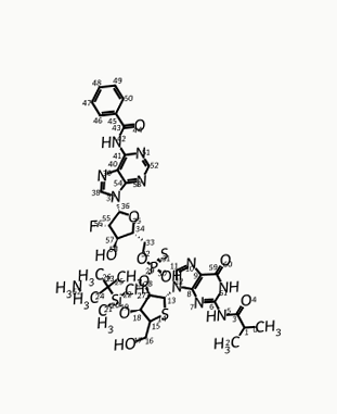 CC(C)C(=O)Nc1nc2c(ncn2[C@@H]2SC(CO)[C@@H](O[Si](C)(C)C(C)(C)C)[C@H]2OP(O)(=S)OC[C@H]2O[C@@H](n3cnc4c(NC(=O)c5ccccc5)ncnc43)[C@@H](F)[C@@H]2O)c(=O)[nH]1.N